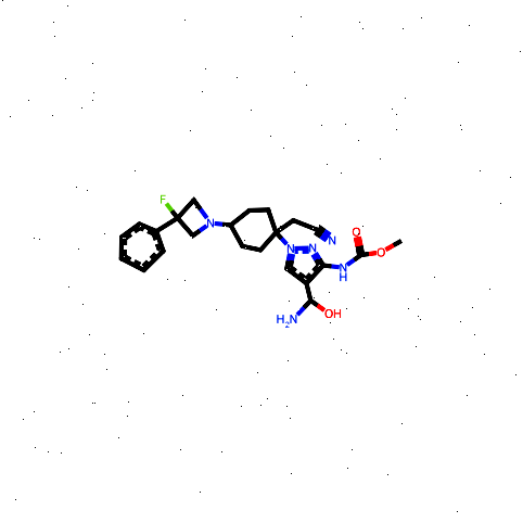 COC(=O)Nc1nn(C2(CC#N)CCC(N3CC(F)(c4ccccc4)C3)CC2)cc1C(N)O